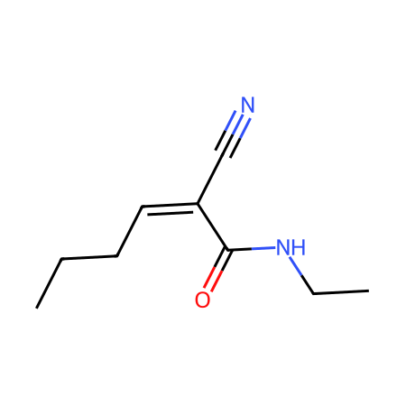 CCC/C=C(/C#N)C(=O)NCC